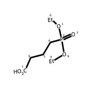 CCOP(=O)(CCCC(=O)O)OCC